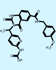 COc1ccc(CNC(=O)c2ccc3[nH]c(=O)n(C(C)c4ccc(NC(=O)O)nc4)c(=O)c3c2)cc1